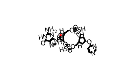 Nc1nc2c(ncn2[C@@H]2O[C@@H]3CO[P@](=O)(S)O[C@H]4C[C@H](Oc5ccncn5)C[C@@H]4CO[P@](=O)(S)O[C@@H]2[C@@H]3F)c(=O)[nH]1